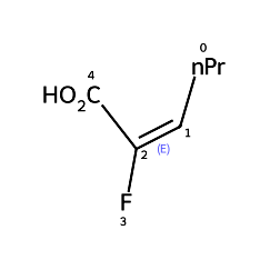 CCC/C=C(/F)C(=O)O